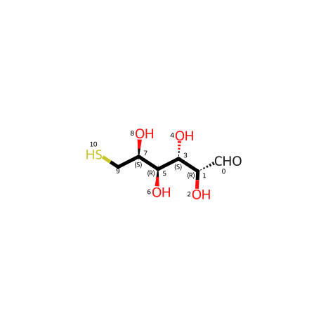 O=C[C@H](O)[C@@H](O)[C@@H](O)[C@H](O)CS